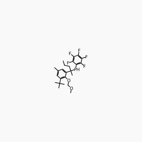 CCCC(C)(Pc1c(F)c(F)c(F)c(F)c1F)c1cc(C)cc(C(C)(C)C)c1OCOC